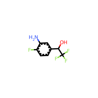 Nc1cc(C(O)C(F)(F)F)ccc1F